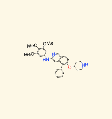 COc1cc(Nc2cc3c(-c4ccccc4)c(OC4CCNCC4)ccc3cn2)cc(OC)c1OC